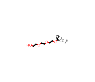 C=C(OCCOCCOCCO)C(=O)O